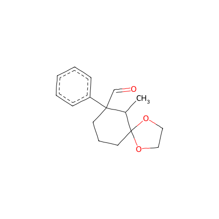 CC1C2(CCCC1(C=O)c1ccccc1)OCCO2